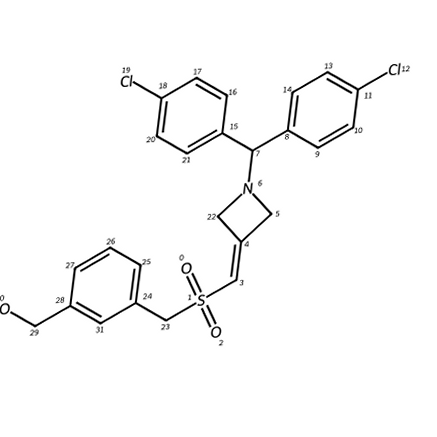 O=S(=O)(C=C1CN(C(c2ccc(Cl)cc2)c2ccc(Cl)cc2)C1)Cc1cccc(CO)c1